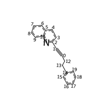 C(#Cc1ccc2ccccc2n1)CCc1ccccc1